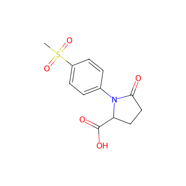 CS(=O)(=O)c1ccc(N2C(=O)CCC2C(=O)O)cc1